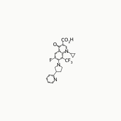 O=C(O)c1cn(C2CC2)c2c(C(F)(F)F)c(N3CCC(c4ccccn4)C3)c(F)cc2c1=O